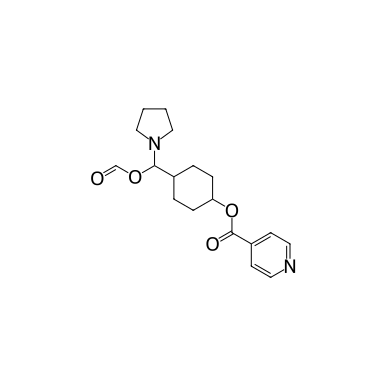 O=COC(C1CCC(OC(=O)c2ccncc2)CC1)N1CCCC1